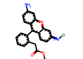 COC(=O)Cc1ccccc1-c1c2cc/c(=N/Cl)cc-2oc2cc(N)ccc12